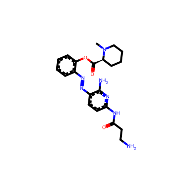 CN1CCCC[C@H]1C(=O)Oc1ccccc1/N=N/c1ccc(NC(=O)CCN)nc1N